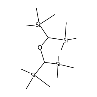 C[Si](C)(C)C(OC([Si](C)(C)C)[Si](C)(C)C)[Si](C)(C)C